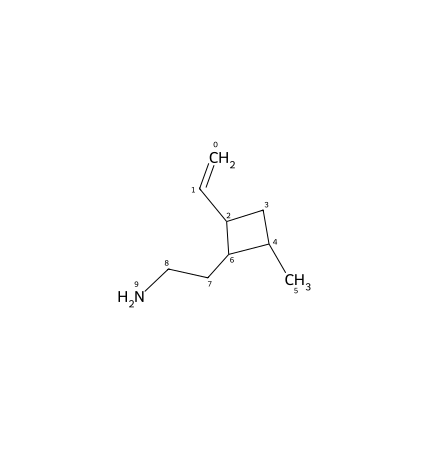 C=CC1CC(C)C1CCN